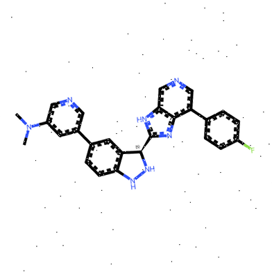 CN(C)c1cncc(-c2ccc3c(c2)[C@@H](c2nc4c(-c5ccc(F)cc5)cncc4[nH]2)NN3)c1